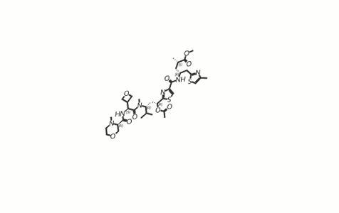 COC(=O)[C@@H](C)C[C@H](Cc1nc(C)cs1)NC(=O)c1csc([C@@H](C[C@H](C(C)C)N(C)C(=O)[C@@H](NC(=O)[C@H]2COCCN2C)C2COC2)OC(C)=O)n1